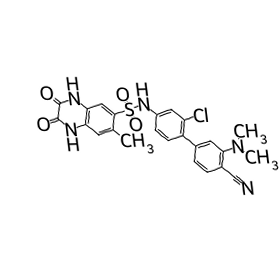 Cc1cc2[nH]c(=O)c(=O)[nH]c2cc1S(=O)(=O)Nc1ccc(-c2ccc(C#N)c(N(C)C)c2)c(Cl)c1